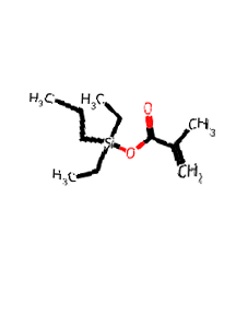 C=C(C)C(=O)O[Si](CC)(CC)CCC